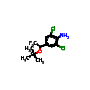 C[Si](C)(C)O[C@H](c1cc(Cl)c(N)c(Cl)c1)C(F)(F)F